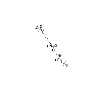 COP(C)(=O)OCCCCCCNC(=O)OCCNC(=O)CCC(C)(C)SC